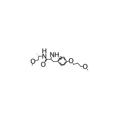 COCCCOc1ccc(C[C@H](N)C(=O)N[C@@H](C)COC)cc1